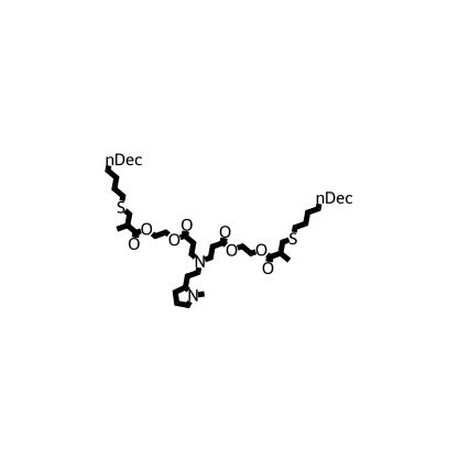 CCCCCCCCCCCCCCSCC(C)C(=O)OCCOC(=O)CCN(CCC(=O)OCCOC(=O)C(C)CSCCCCCCCCCCCCCC)CCC1CCCN1C